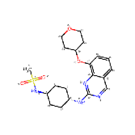 CS(=O)(=O)N[C@H]1CC[C@H](Nc2ncc3cccc(OC4CCOCC4)c3n2)CC1